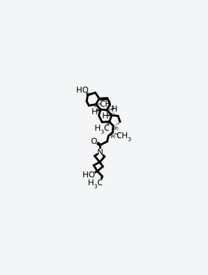 CCC1(O)CC2(CN(C(=O)CC[C@@H](C)[C@H]3CC[C@H]4[C@@H]5CC=C6C[C@@H](O)CC[C@]6(C)[C@H]5CC[C@]34C)C2)C1